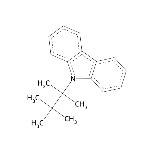 CC(C)(C)C(C)(C)n1c2ccccc2c2ccccc21